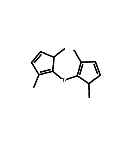 CC1=[C]([Ti][C]2=C(C)C=CC2C)C(C)C=C1